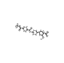 COc1cc(C2=CCN(CC(=O)N3CCN(C(=O)OC(C)(C)C)CC3)CC2)ccc1[N+](=O)[O-]